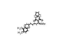 CNC(CCCCC1COc2c(ccc(C)c2C)O1)N1C(=O)CC2(CCCC2)CC1=O